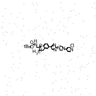 CN(Cc1cccc(-c2cnc(N3CCN(c4ccnc(Cl)c4)CC3)nc2)c1)C(=O)CNC(=O)OC(C)(C)C